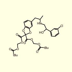 CC(Cc1ccc2c(c1)OC(C(=O)OCOC(=O)C(C)(C)C)(C(=O)OCOC(=O)C(C)(C)C)O2)NCC(O)c1cccc(Cl)c1